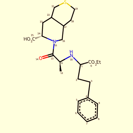 CCOC(=O)C(CCc1ccccc1)N[C@@H](C)C(=O)N1CC2CCSCC2C[C@H]1C(=O)O